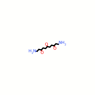 NCCC(=O)CCC(=O)CCC(=O)CCN